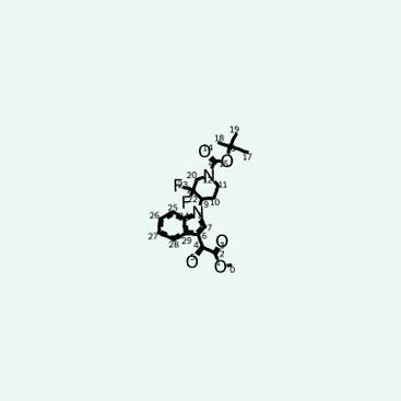 COC(=O)C(=O)c1cn(C2CCN(C(=O)OC(C)(C)C)CC2(F)F)c2ccccc12